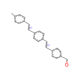 Cc1ccc(/C=C/c2ccc(/C=C/c3ccc(C=O)cc3)cc2)cc1